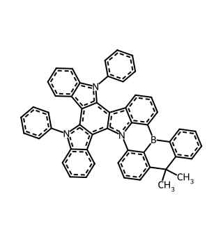 CC1(C)c2ccccc2B2c3c(cccc31)-n1c3c2cccc3c2c3c(c4ccccc4n3-c3ccccc3)c3c(c4ccccc4n3-c3ccccc3)c21